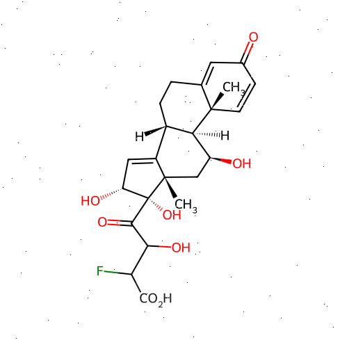 C[C@]12C=CC(=O)C=C1CC[C@H]1C3=C[C@@H](O)[C@](O)(C(=O)C(O)C(F)C(=O)O)[C@@]3(C)C[C@H](O)[C@@H]12